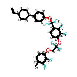 C=CC1CCC(c2ccc(OC(F)(F)c3ccc(OC(F)(F)COc4ccc(C)c(F)c4F)c(F)c3F)cc2)CC1